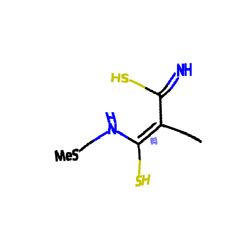 CSN/C(S)=C(/C)C(=N)S